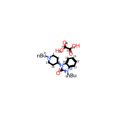 CCCCN1CCC(n2c(=O)n(CCCC)c3ccccc32)CC1.O=C(O)C(=O)O